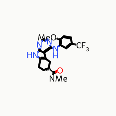 CNC(=O)[C@H]1CCc2[nH]c3ncnc(Nc4cc(C(F)(F)F)ccc4OC)c3c2C1